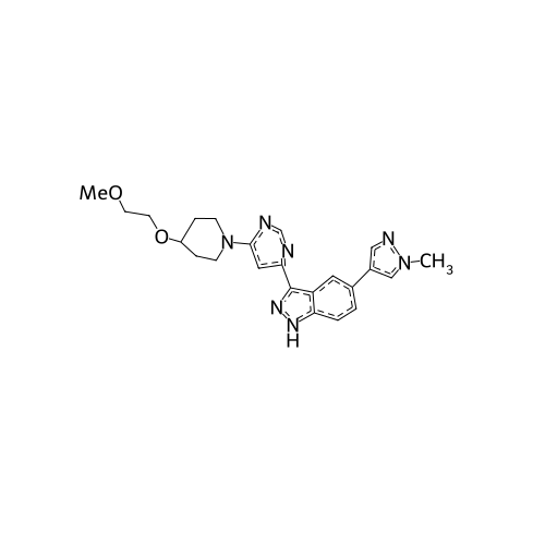 COCCOC1CCN(c2cc(-c3n[nH]c4ccc(-c5cnn(C)c5)cc34)ncn2)CC1